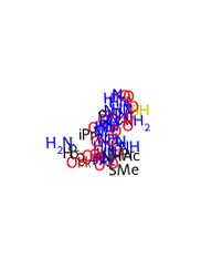 CSCC[C@H](NC(=O)[C@H](CC(C)C)NC(=O)[C@H](Cc1c[nH]cn1)NC(=O)CNC(=O)[C@@H](NC(=O)[C@H](C)NC(=O)[C@H](Cc1c[nH]c2ccccc12)NC(=O)[C@H](CCC(N)=O)NC(=O)CNC(=O)[C@H](CS)NC(=O)[C@H](CO)NC(=O)CN(C)C)C(C)C)C(=O)N(CNC(C)=O)C(=O)CC[C@@H](C)[C@H]1CCC2C3C(C[C@H](O)[C@@]21C)[C@@]1(C)CC[C@H](N)C[C@@H]1C[C@H]3O